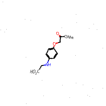 COC(=O)COc1ccc(NCC(=O)O)cc1